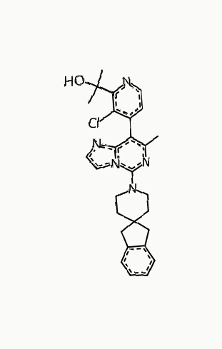 Cc1nc(N2CCC3(CC2)Cc2ccccc2C3)n2ccnc2c1-c1ccnc(C(C)(C)O)c1Cl